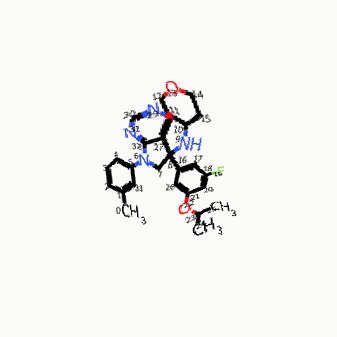 Cc1cccc(N2CC(NC3CCOCC3)(c3cc(F)cc(OC(C)C)c3)c3cncnc32)c1